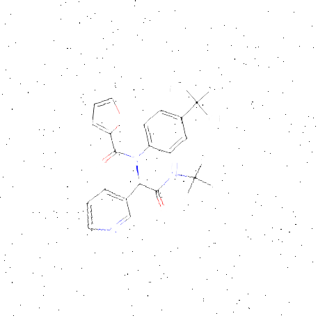 CC(C)(C)NC(=O)[C@@H](c1cccnc1)N(C(=O)c1ccco1)c1ccc(C(C)(C)C)cc1